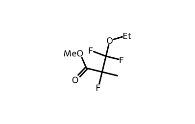 CCOC(F)(F)C(C)(F)C(=O)OC